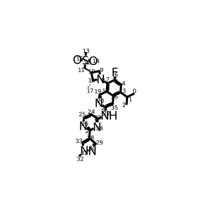 CC(C)c1cc(F)c(N2C[C@H](CS(C)(=O)=O)[C@H]2C)c2cnc(Nc3ccnc(-c4cnn(C)c4)n3)cc12